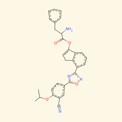 CC(C)Oc1ccc(-c2nc(-c3cccc4c3CC=C4OC(=O)C(N)Cc3ccccc3)no2)cc1C#N